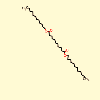 CCCCCCCCCCCCOC(=O)CCCCCCCCCC(=O)OCCCCCCCCCCCC